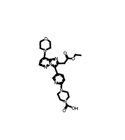 CCOC(=O)Cc1nc2c(N3CCOCC3)ccnn2c1-c1ccc(N2CCN(C(=O)O)CC2)nc1